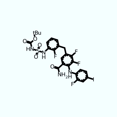 CC(C)(C)OC(=O)NS(=O)(=O)Nc1cccc(Cc2cc(C(N)=O)c(Nc3ccc(I)cc3F)c(F)c2F)c1F